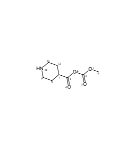 COC(=O)OC(=O)C1CCNCC1